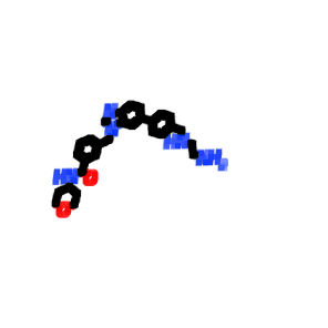 NCCNCc1ccc(-c2ccc3ncn(Cc4cccc(C(=O)NC5CCOCC5)c4)c3c2)cc1